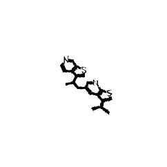 CC(C)c1csc2ncc(CC(C)c3csc4cnccc34)cc12